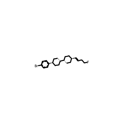 FCCC=C[C@H]1CC[C@H]([C@H]2CC[C@H](c3ccc(Br)cc3)CC2)CC1